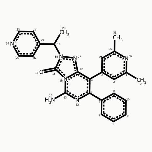 Cc1cc(-c2c(-c3ccccc3)nc(N)n3c(=O)n(C(C)c4ccncc4)nc23)cc(C)n1